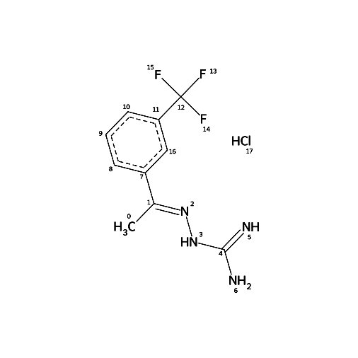 CC(=NNC(=N)N)c1cccc(C(F)(F)F)c1.Cl